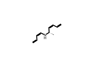 C=C/C=C\N[C@@H](C)/C=C\C=C